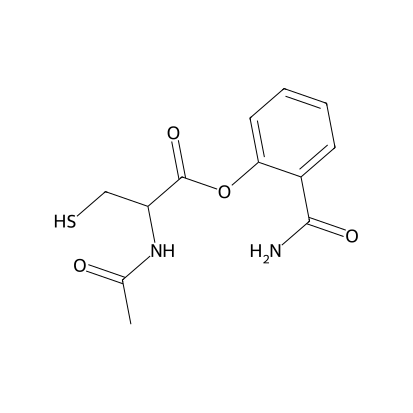 CC(=O)NC(CS)C(=O)Oc1ccccc1C(N)=O